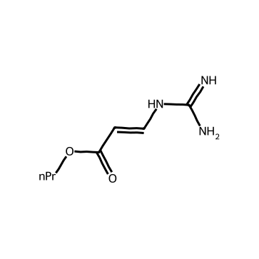 CCCOC(=O)C=CNC(=N)N